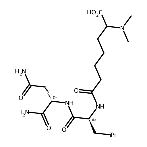 CC(C)C[C@H](NC(=O)CCCCC(C(=O)O)N(C)C)C(=O)N[C@@H](CC(N)=O)C(N)=O